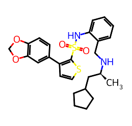 C[C@@H](CC1CCCC1)NCc1ccccc1NS(=O)(=O)c1sccc1-c1ccc2c(c1)OCO2